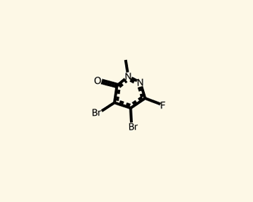 Cn1nc(F)c(Br)c(Br)c1=O